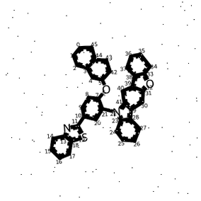 c1ccc2cc(Oc3ccc(-c4nc5ccccc5s4)cc3-n3c4ccccc4c4cc5oc6ccccc6c5cc43)ccc2c1